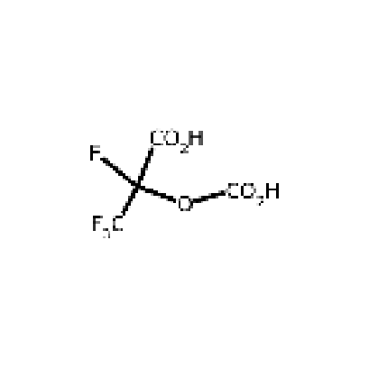 O=C(O)OC(F)(C(=O)O)C(F)(F)F